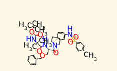 Cc1ccc(S(=O)(=O)Nc2ccc3c(c2)CN(C(=O)[C@@H](COCc2ccccc2)NC(=O)C(C)(C)NC(=O)OC(C)(C)C)CC3)cc1